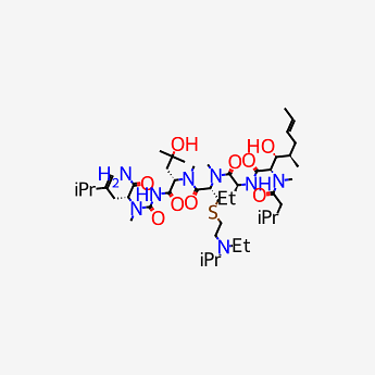 C=C(C[C@H](C(N)=O)N(C)C(=O)NC(=O)[C@H](CC(C)(C)O)N(C)C(=O)[C@@H](CSCCN(CC)C(C)C)N(C)C(=O)[C@H](CC)NC(=O)[C@H]([C@H](O)[C@H](C)C/C=C/C)N(C)C(=O)CC(C)C)C(C)C